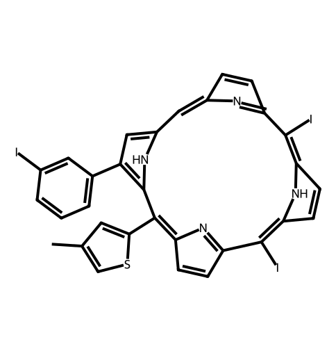 Cc1csc(-c2c3nc(c(I)c4ccc([nH]4)c(I)c4nc(cc5cc(-c6cccc(I)c6)c2[nH]5)C=C4)C=C3)c1